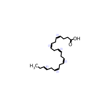 CC/C=C/C/C=C\C/C=C\C/C=C\C/C=C\C/C=C\CCC(=O)O